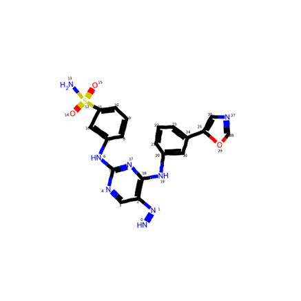 N=Nc1cnc(Nc2cccc(S(N)(=O)=O)c2)nc1Nc1cccc(-c2cnco2)c1